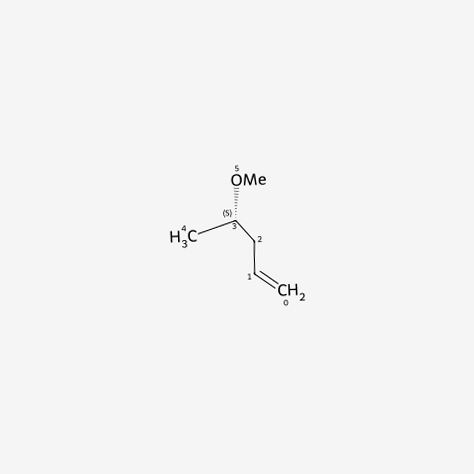 C=CC[C@H](C)OC